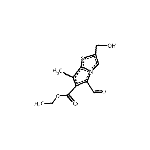 CCOC(=O)c1c(C)c2sc(CO)cn2c1C=O